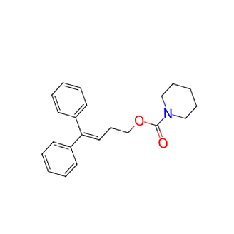 O=C(OCCC=C(c1ccccc1)c1ccccc1)N1CCCCC1